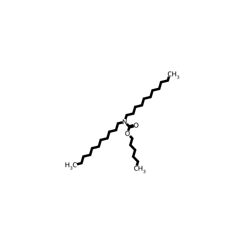 CCCCCCCCCCCN(CCCCCCCCCCC)C(=O)OCCCCCC